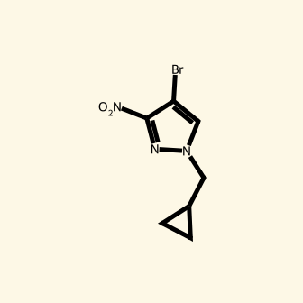 O=[N+]([O-])c1nn(CC2CC2)cc1Br